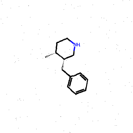 C[C@@H]1CCNC[C@@H]1Cc1ccccc1